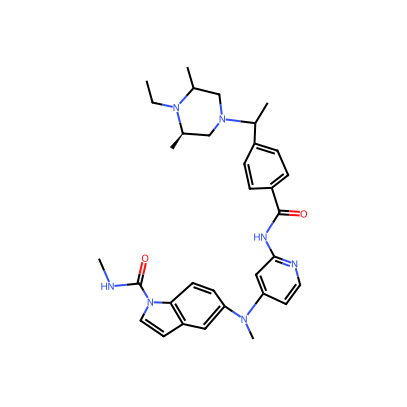 CCN1C(C)CN(C(C)c2ccc(C(=O)Nc3cc(N(C)c4ccc5c(ccn5C(=O)NC)c4)ccn3)cc2)C[C@H]1C